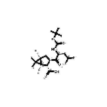 CC(C)(C)OC(=O)N[C@@H](CC(F)F)C(=O)N1C[C@H]2[C@@H]([C@H]1C(=O)O)C2(C)C